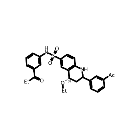 CCO[C@H]1CC(c2cccc(C(C)=O)c2)Nc2ccc(S(=O)(=O)Nc3cccc(C(=O)CC)c3)cc21